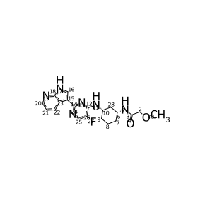 COCC(=O)N[C@@H]1CCC[C@H](Nc2nc(-c3c[nH]c4ncccc34)ncc2F)C1